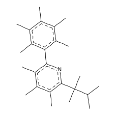 Cc1c(-c2c(C)c(C)c(C)c(C)c2C)nc(C(C)(C)C(C)C)c(C)c1C